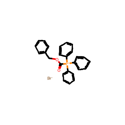 O=C(OCc1ccccc1)[P+](c1ccccc1)(c1ccccc1)c1ccccc1.[Br-]